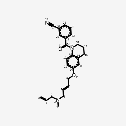 C=CCN(C)CC=CCOc1ccc2c(c1)CCCN2C(=O)c1cccc(C#N)c1